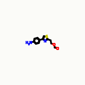 Nc1ccc(-c2csc(CCOC=O)n2)cc1